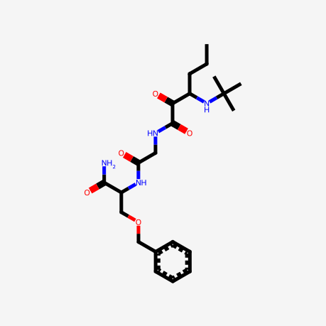 CCCC(NC(C)(C)C)C(=O)C(=O)NCC(=O)NC(COCc1ccccc1)C(N)=O